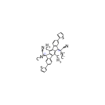 [C-]#[N+]/C(C#N)=C1/c2cc(-c3cccs3)ccc2-c2c(C)c3c(c(C)c21)-c1ccc(-c2cccs2)cc1/C3=C(/C#N)[N+]#[C-]